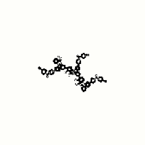 C#CC1CCN(C(=O)N2CCC(c3ccc4c(c3)-n3c(nc(=O)c5c(Cl)c(C6CCC7(CC6)c6ccc(C8CCN(C(=O)C9CCNCC9)CC8)cc6-n6c7nc(=O)c7c(Cl)c(C8CCC9(CC8)c8ccc(N%10CCN(C(=O)[C@H]%11CC[C@H](C#C)CC%11)CC%10)cc8-n8c9nc(=O)c9c(Cl)cccc98)ccc76)ccc53)C43CCCCC3)CC2)CC1